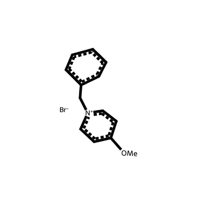 COc1cc[n+](Cc2ccccc2)cc1.[Br-]